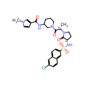 C[C@@H](C(=O)N1CCCC(NC(=O)c2ccn(C)c2)C1)N1CC[C@H](NS(=O)(=O)c2ccc3cc(Cl)ccc3c2)C1=O